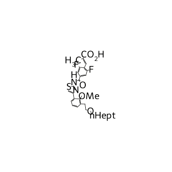 CCCCCCCOCCc1cccc(-c2csc(NC(=O)c3cc(F)c(C=C(C)C(=O)O)c(F)c3)n2)c1OC